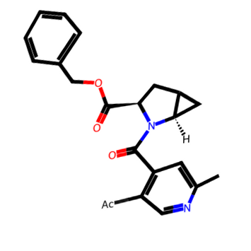 CC(=O)c1cnc(C)cc1C(=O)N1[C@@H](C(=O)OCc2ccccc2)CC2C[C@H]21